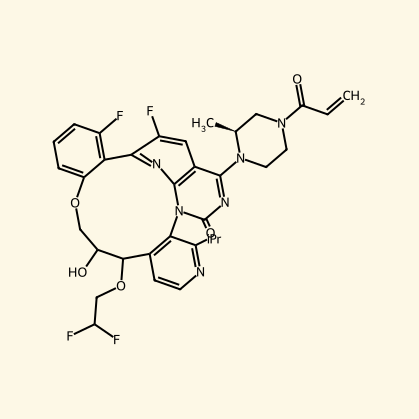 C=CC(=O)N1CCN(c2nc(=O)n3c4nc(c(F)cc24)-c2c(F)cccc2OCC(O)C(OCC(F)F)c2ccnc(C(C)C)c2-3)[C@@H](C)C1